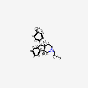 CCN1CC[C@H]2[C@H](c3ccc(C)cc3)c3ccccc3[C@H]2C1